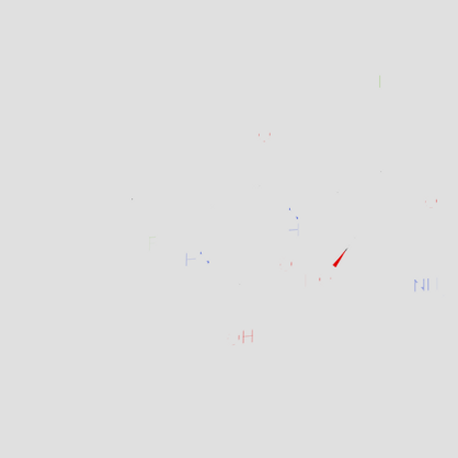 NC(=O)[C@@H](O)C1(NC(=O)C(CC2(F)CCCC2)NC(=O)O)CC(F)C1